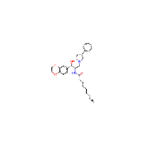 CCCCCCCC(=O)N[C@H](CN1CCC(c2ccccc2)C1)[C@H](O)c1ccc2c(c1)OCCO2